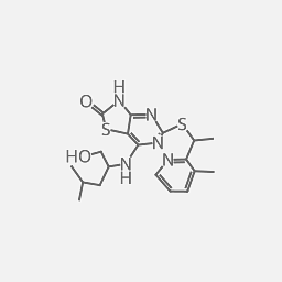 Cc1cccnc1C(C)Sc1nc(NC(CO)CC(C)C)c2sc(=O)[nH]c2n1